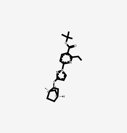 CCc1nc(-n2ccc(S[C@H]3C[C@H]4CC[C@]3(C)C4)n2)ccc1C(=O)OC(C)(C)C